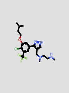 CNCCN(C)Cc1c[nH]nc1-c1cc(OCCC(C)C)c(Cl)c(C(F)(F)F)c1